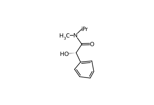 CC(C)N(C)C(=O)[C@@H](O)c1ccccc1